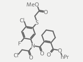 CCCOC(=O)C1=C(C(=O)N(C(=O)CCl)c2cc(SCC(=O)OC)c(Cl)cc2F)CCCC1